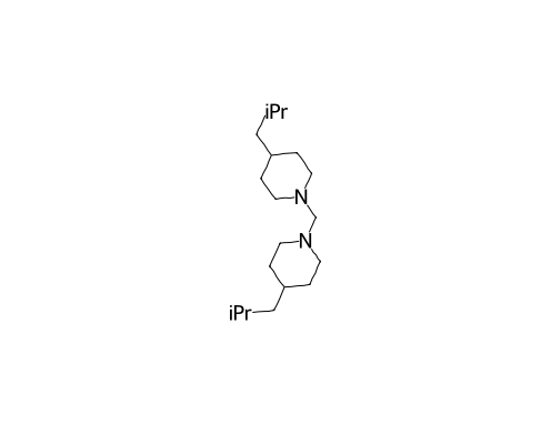 CC(C)CC1CCN(CN2CCC(CC(C)C)CC2)CC1